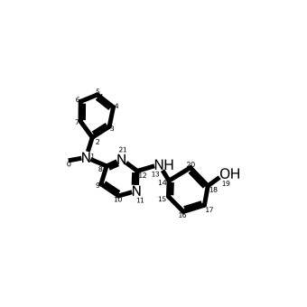 CN(c1cc[c]cc1)c1ccnc(Nc2cccc(O)c2)n1